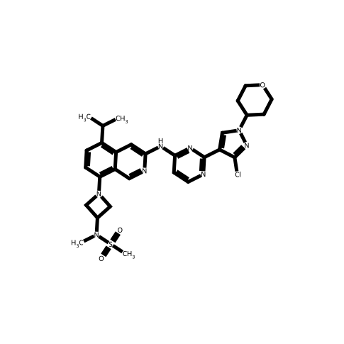 CC(C)c1ccc(N2CC(N(C)S(C)(=O)=O)C2)c2cnc(Nc3ccnc(-c4cn(C5CCOCC5)nc4Cl)n3)cc12